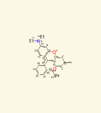 C=c1ccc2c(c1)Oc1cc(N(CC)CC)ccc1C=2c1ccccc1C(=O)C(C)C